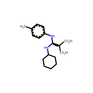 CCOC(=O)C(C(=O)OCC)=C(Nc1ccc(C)cc1)NC1CCCCC1